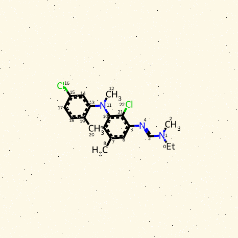 CCN(C)C=Nc1cc(C)cc(N(C)c2cc(Cl)ccc2C)c1Cl